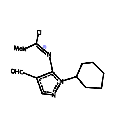 CN/C(Cl)=N\c1c(C=O)cnn1C1CCCCC1